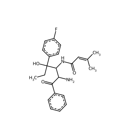 CCC(O)(c1ccc(F)cc1)C(NC(=O)C=C(C)C)C(N)C(=O)c1ccccc1